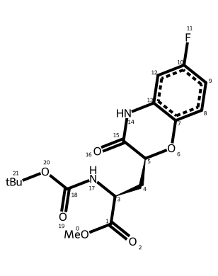 COC(=O)[C@H](C[C@@H]1Oc2ccc(F)cc2NC1=O)NC(=O)OC(C)(C)C